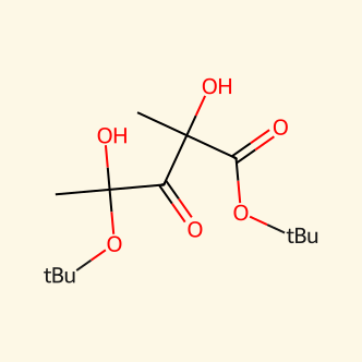 CC(C)(C)OC(=O)C(C)(O)C(=O)C(C)(O)OC(C)(C)C